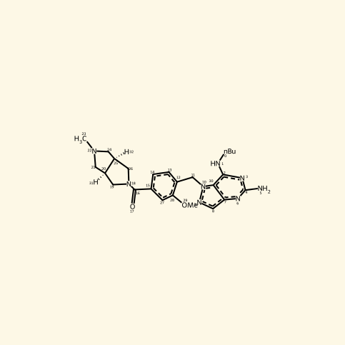 CCCCNc1nc(N)nc2cnn(Cc3ccc(C(=O)N4C[C@H]5CN(C)C[C@H]5C4)cc3OC)c12